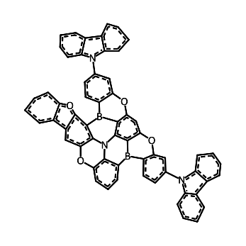 c1cc2c3c(c1)B1c4ccc(-n5c6ccccc6c6ccccc65)cc4Oc4cc5c6c(c41)N3c1c(cc3c(oc4ccccc43)c1B6c1ccc(-n3c4ccccc4c4ccccc43)cc1O5)O2